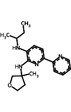 CCC(C)Nc1ccc(-c2ccccn2)nc1NC1(C)CCOC1